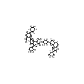 c1ccc(-c2ccc3ccc4ccc(-c5ccc(-c6ccc7c(c6)nc(-c6ccccc6)c6cc8ccc9ccc(-c%10ccccc%10)nc9c8nc67)cc5)nc4c3n2)cc1